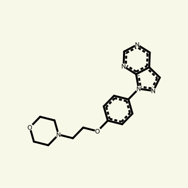 c1ncc2cnn(-c3ccc(OCCN4CCOCC4)cc3)c2n1